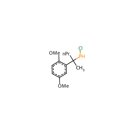 CCCC(C)(PCl)c1cc(OC)ccc1OC